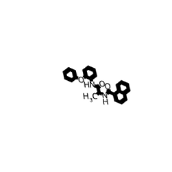 CC(NC(=O)c1cccc2ccccc12)C(=O)Nc1ccccc1Oc1ccccc1